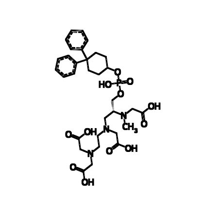 CN(CC(=O)O)[C@@H](COP(=O)(O)OC1CCC(c2ccccc2)(c2ccccc2)CC1)CN(CCN(CC(=O)O)CC(=O)O)CC(=O)O